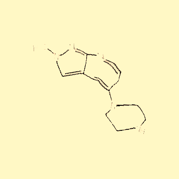 Cn1cc2cc(N3CCNCC3)cnc2n1